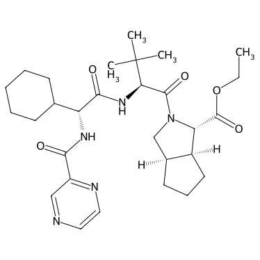 CCOC(=O)[C@@H]1[C@H]2CCC[C@H]2CN1C(=O)[C@@H](NC(=O)[C@H](NC(=O)c1cnccn1)C1CCCCC1)C(C)(C)C